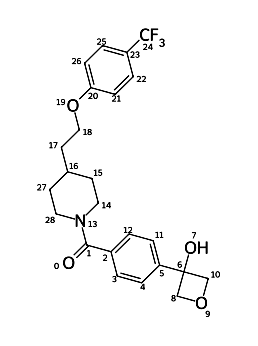 O=C(c1ccc(C2(O)COC2)cc1)N1CCC(CCOc2ccc(C(F)(F)F)cc2)CC1